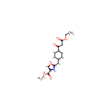 CCOC(=O)CC(=O)C1CCC(Cc2nc(C(=O)OC)co2)CC1